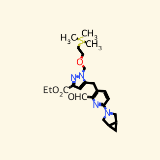 CCOC(=O)c1cc(Cc2ccc(N3CC4CC4C3)nc2C=O)n(COCCS(C)(C)C)n1